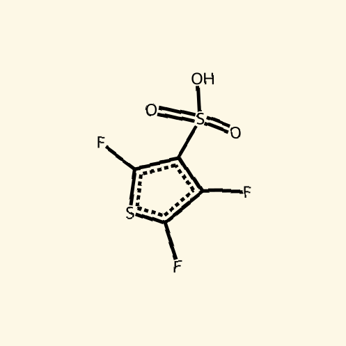 O=S(=O)(O)c1c(F)sc(F)c1F